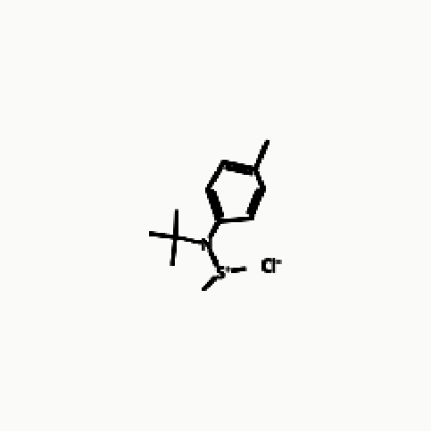 Cc1ccc(N([S+](C)C)C(C)(C)C)cc1.[Cl-]